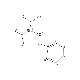 CC(C)[Si](OCc1ccccc1)C(C)C